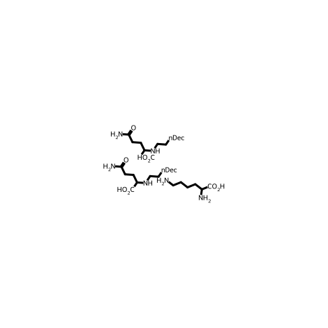 CCCCCCCCCCCCNC(CCC(N)=O)C(=O)O.CCCCCCCCCCCCNC(CCC(N)=O)C(=O)O.NCCCCC(N)C(=O)O